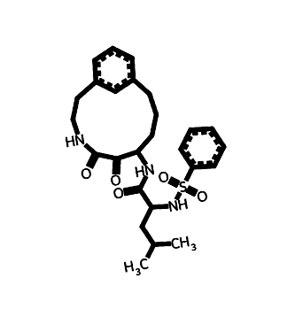 CC(C)CC(NS(=O)(=O)c1ccccc1)C(=O)NC1CCCc2cccc(c2)CCNC(=O)C1=O